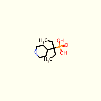 CCC(CC)(C1CC[N]CC1)P(=O)(O)O